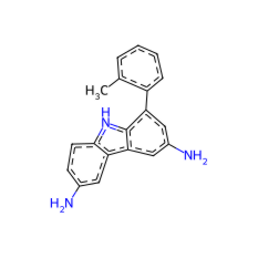 Cc1ccccc1-c1cc(N)cc2c1[nH]c1ccc(N)cc12